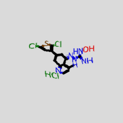 Cc1ccnc2c1/C(=N\NC(=N)NO)CC(c1cc(Cl)sc1Cl)C2.Cl